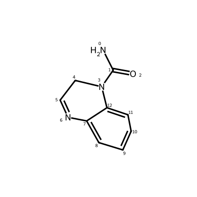 NC(=O)N1CC=Nc2ccccc21